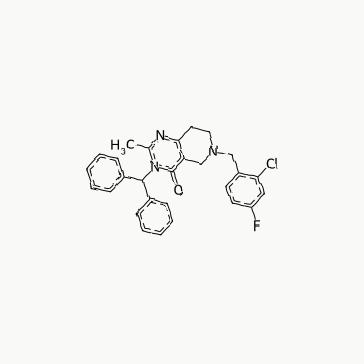 Cc1nc2c(c(=O)n1C(c1ccccc1)c1ccccc1)CN(Cc1ccc(F)cc1Cl)CC2